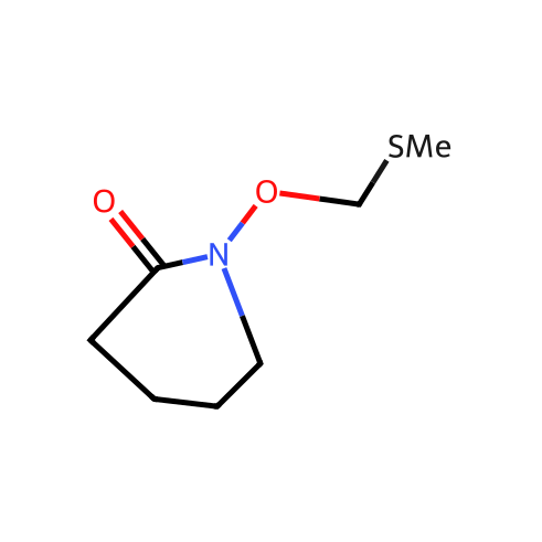 CSCON1CCCCC1=O